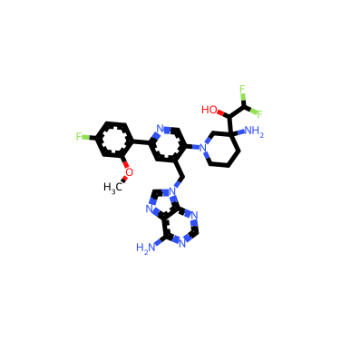 COc1cc(F)ccc1-c1cc(Cn2cnc3c(N)ncnc32)c(N2CCCC(N)(C(O)C(F)F)C2)cn1